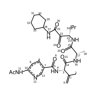 C=C(C)[C@H](NC(=O)c1ccc(NC(C)=O)nc1)C(=O)N[C@@H](C)C(=O)N[C@H](C(=O)C(=O)NC1CCCCC1)C(C)C